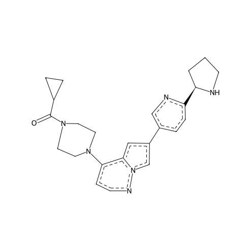 O=C(C1CC1)N1CCN(c2ccnn3cc(-c4ccc([C@H]5CCCN5)nc4)cc23)CC1